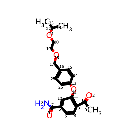 CC(=O)c1ccc(C(N)=O)cc1Oc1ccc(COCCOC(C)C)cc1